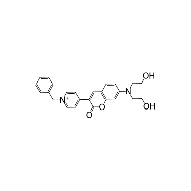 O=c1oc2cc(N(CCO)CCO)ccc2cc1-c1cc[n+](Cc2ccccc2)cc1